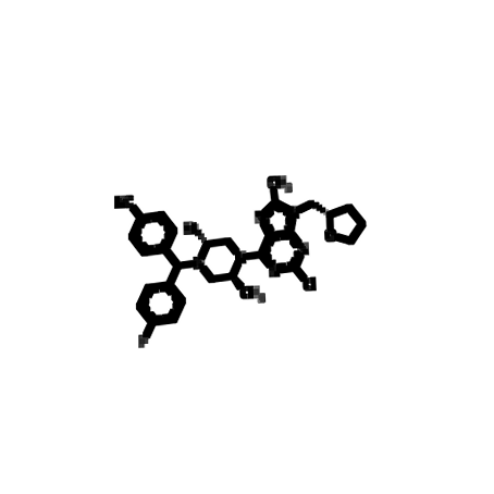 CC[C@@H]1CN(c2nc(Cl)nc3c2nc(C)n3C[C@@H]2CCCO2)[C@@H](C)CN1C(c1ccc(F)cc1)c1ccc(C#N)cc1